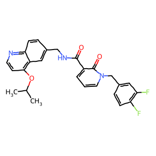 CC(C)Oc1ccnc2ccc(CNC(=O)c3cccn(Cc4ccc(F)c(F)c4)c3=O)cc12